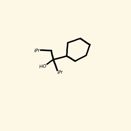 CC(C)CC(O)(C(C)C)C1CCCCC1